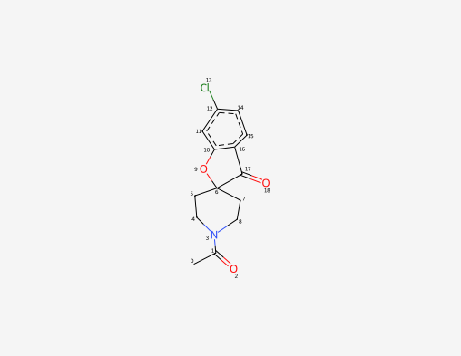 CC(=O)N1CCC2(CC1)Oc1cc(Cl)ccc1C2=O